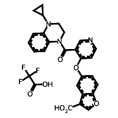 O=C(O)C(F)(F)F.O=C(O)c1coc2ccc(Oc3ccncc3C(=O)N3CCN(C4CC4)c4ccccc43)cc12